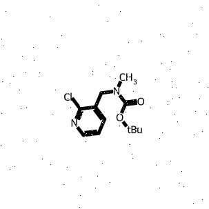 CN(Cc1cccnc1Cl)C(=O)OC(C)(C)C